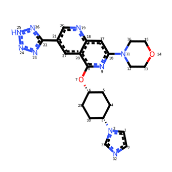 c1cn([C@H]2CC[C@@H](Oc3nc(N4CCOCC4)cc4ncc(-c5nn[nH]n5)cc34)CC2)cn1